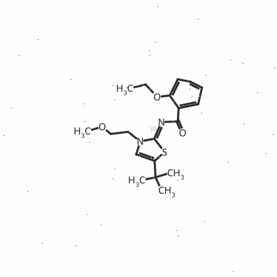 CCOc1ccccc1C(=O)/N=c1\sc(C(C)(C)C)cn1CCOC